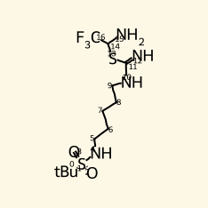 CC(C)(C)S(=O)(=O)NCCCCCNC(=N)SC(N)C(F)(F)F